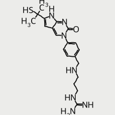 CC(C)(S)c1cc2cn(-c3ccc(CNCCCNC(=N)N)cc3)c(=O)nc2[nH]1